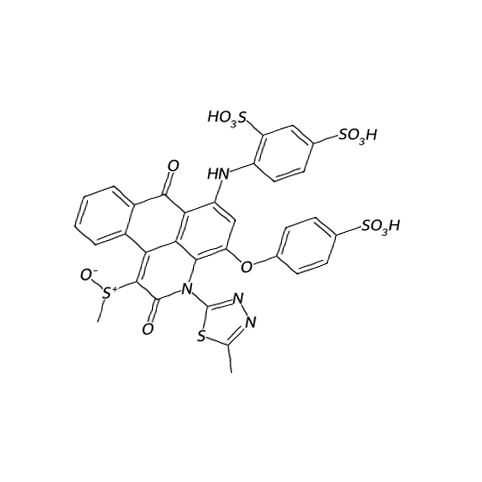 Cc1nnc(-n2c(=O)c([S+](C)[O-])c3c4c(c(Nc5ccc(S(=O)(=O)O)cc5S(=O)(=O)O)cc(Oc5ccc(S(=O)(=O)O)cc5)c42)C(=O)c2ccccc2-3)s1